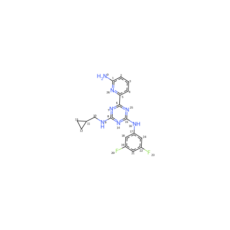 Nc1cccc(-c2nc(NCC3CC3)nc(Nc3cc(F)cc(F)c3)n2)n1